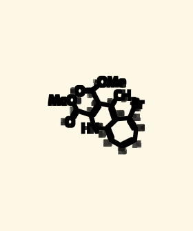 COC(=O)C1=C(C(=O)OC)C(C)=C2C(Br)=CC=CC=C2N1